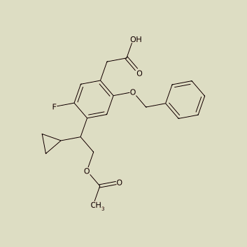 CC(=O)OCC(c1cc(OCc2ccccc2)c(CC(=O)O)cc1F)C1CC1